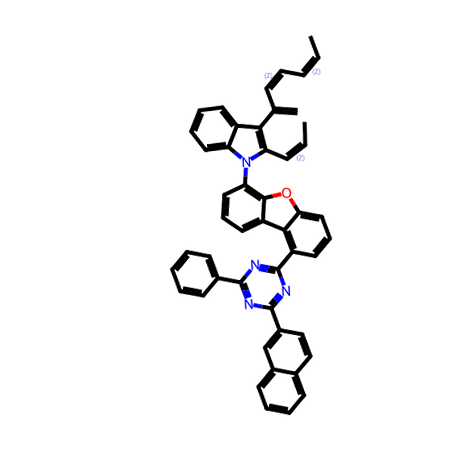 C=C(/C=C\C=C/C)c1c(/C=C\C)n(-c2cccc3c2oc2cccc(-c4nc(-c5ccccc5)nc(-c5ccc6ccccc6c5)n4)c23)c2ccccc12